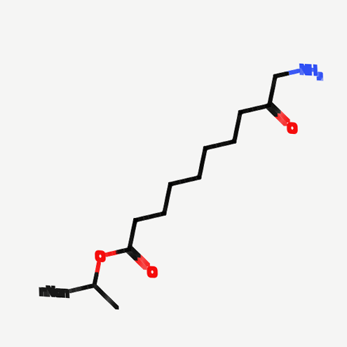 CCCCCCCCCC(C)OC(=O)CCCCCCCC(=O)CN